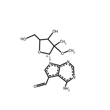 COC1(C)C(O)C(CO)O[C@H]1n1cc(C=O)c2c(N)ncnc21